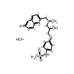 CN(Cc1ccc2cc(F)ccc2n1)CC(O)COc1ccc(NS(C)(=O)=O)cc1.Cl